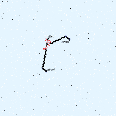 CCCCC/C=C\C/C=C\CCCCCCCCCCCC(=O)OC[C@@H](COC(=O)CCCCCCCCCCC)OC(=O)CCCCCCCCC/C=C\C/C=C\CCCCC